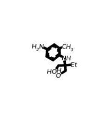 CCC(CO)(CO)Nc1ccc(N)cc1C